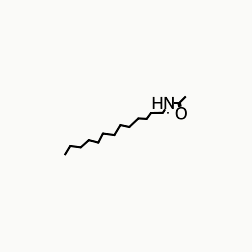 CCCCCCCCCCCC[CH]NC(C)=O